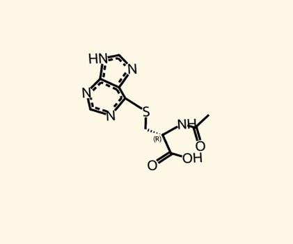 CC(=O)N[C@@H](CSc1ncnc2[nH]cnc12)C(=O)O